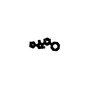 C=C1C(n2ccnc2)=CNN1c1cc(N2CCCCCCC2)ncn1